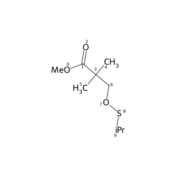 COC(=O)C(C)(C)COSC(C)C